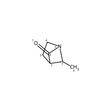 CC1C2CCN1C2=O